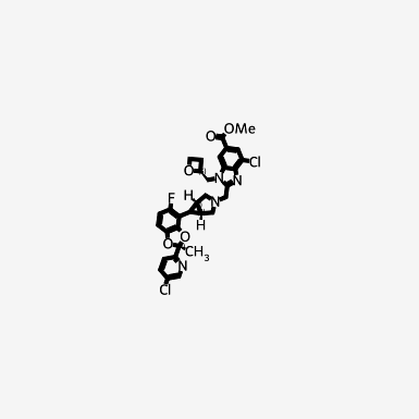 COC(=O)c1cc(Cl)c2nc(CN3C[C@@H]4C(c5c(F)ccc6c5O[C@](C)(c5ccc(Cl)cn5)O6)[C@@H]4C3)n(C[C@@H]3CCO3)c2c1